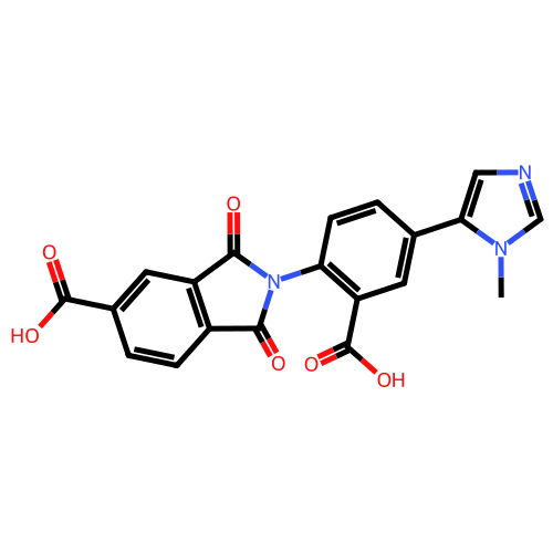 Cn1cncc1-c1ccc(N2C(=O)c3ccc(C(=O)O)cc3C2=O)c(C(=O)O)c1